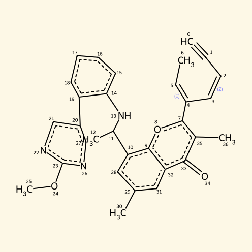 C#C/C=C\C(=C/C)c1oc2c(C(C)Nc3ccccc3-c3cnc(OC)nc3)cc(C)cc2c(=O)c1C